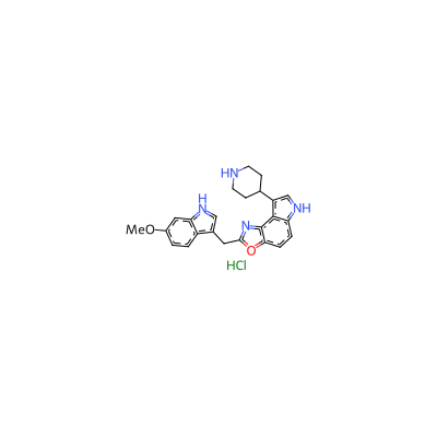 COc1ccc2c(Cc3nc4c(ccc5[nH]cc(C6CCNCC6)c54)o3)c[nH]c2c1.Cl